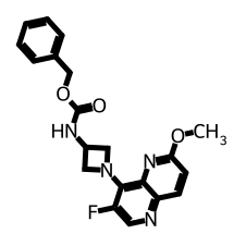 COc1ccc2ncc(F)c(N3CC(NC(=O)OCc4ccccc4)C3)c2n1